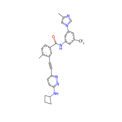 Cc1cn(-c2cc(NC(=O)c3ccc(C)c(C#Cc4ccc(NC5CCC5)nn4)c3)cc(C(F)(F)F)c2)cn1